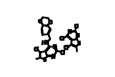 Cc1sc2nc(Cl)nc(Cl)c2c1Cl.Cc1sc2nc(Cl)nc(NCc3ccc4c(c3)OCCO4)c2c1Cl